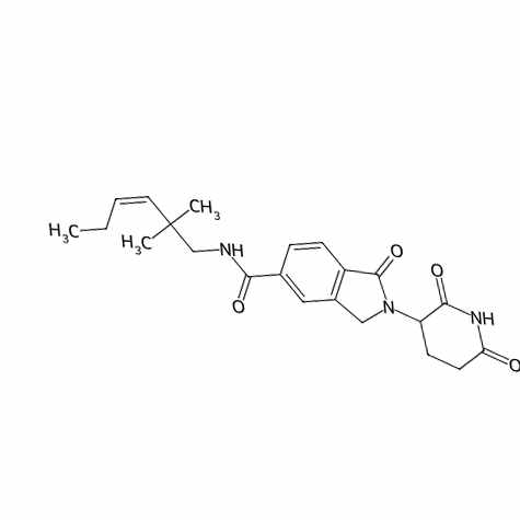 CC/C=C\C(C)(C)CNC(=O)c1ccc2c(c1)CN(C1CCC(=O)NC1=O)C2=O